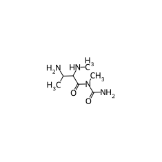 CNC(C(=O)N(C)C(N)=O)C(C)N